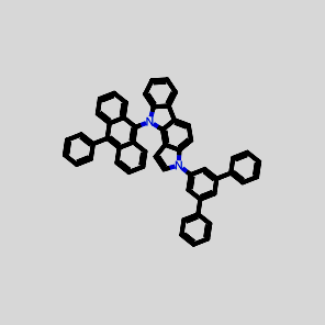 c1ccc(-c2cc(-c3ccccc3)cc(-n3ccc4c3ccc3c5ccccc5n(-c5c6ccccc6c(-c6ccccc6)c6ccccc56)c34)c2)cc1